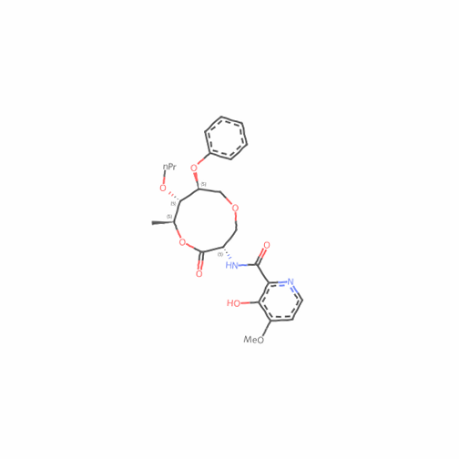 CCCO[C@H]1[C@H](C)OC(=O)[C@@H](NC(=O)c2nccc(OC)c2O)COC[C@@H]1Oc1ccccc1